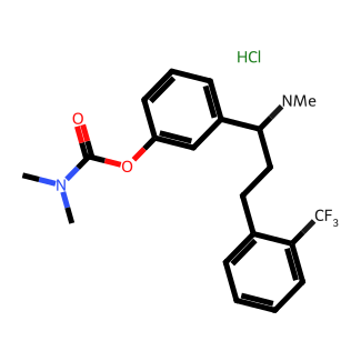 CNC(CCc1ccccc1C(F)(F)F)c1cccc(OC(=O)N(C)C)c1.Cl